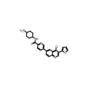 NC1CCC(NC(=O)c2ccc(-c3ccc4ncc(-c5cccs5)c(Cl)c4c3)cn2)CC1